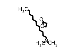 CCCCCCCCCCCCN(C)C.O=C1CCO1